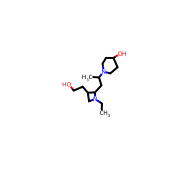 CCN1CC(CCO)C1CC(C)N1CCC(O)CC1